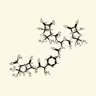 CC1(C)S[C@@H]2C(=O)C(=O)N2[C@H]1C(=O)OC(OC(=O)Oc1ccc(C(N)C(=O)NC2C(=O)N3[C@@H]2SC(C)(C)[C@@H]3C(=O)O)cc1)OC(=O)[C@@H]1N2C(=O)C(=O)[C@H]2SC1(C)C